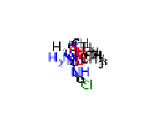 CC(C)(C)OC(=O)C(NC(=N)N)(C(=O)OC(C)(C)C)c1ccc(CNCc2ccc(Cl)cc2)cc1